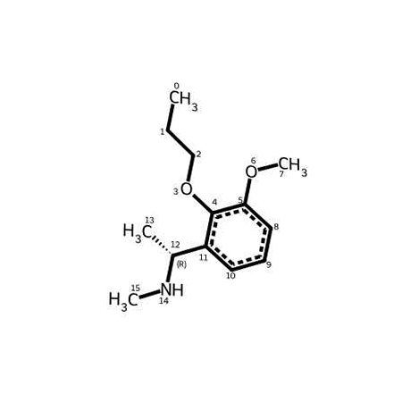 CCCOc1c(OC)cccc1[C@@H](C)NC